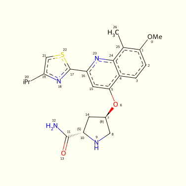 COc1ccc2c(O[C@H]3CN[C@H](C(N)=O)C3)cc(-c3nc(C(C)C)cs3)nc2c1C